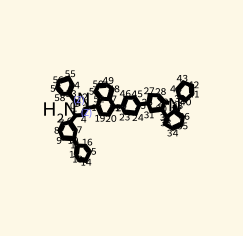 N/C(=N\C(=C/Cc1cccc(-c2ccccc2)c1)c1ccc(-c2ccc(-c3ccc4c(c3)c3ccccc3n4-c3ccccc3)cc2)c2ccccc12)c1ccccc1